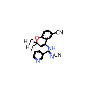 CC1(C)C=C(N/C(=N\C#N)c2cccnc2)c2cc(C#N)ccc2O1